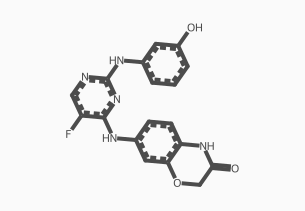 O=C1COc2cc(Nc3nc(Nc4cccc(O)c4)ncc3F)ccc2N1